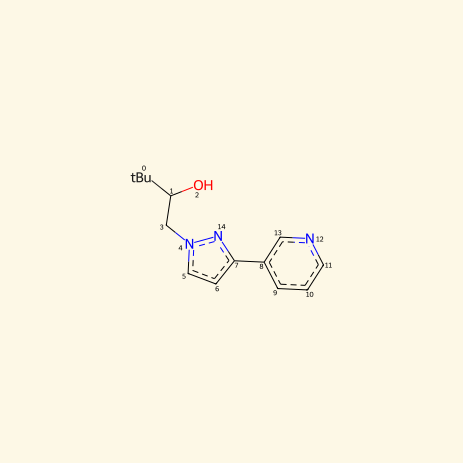 CC(C)(C)C(O)Cn1ccc(-c2cccnc2)n1